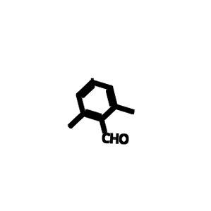 Cc1c[c]cc(C)c1C=O